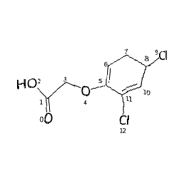 O=C(O)COC1=CCC(Cl)C=C1Cl